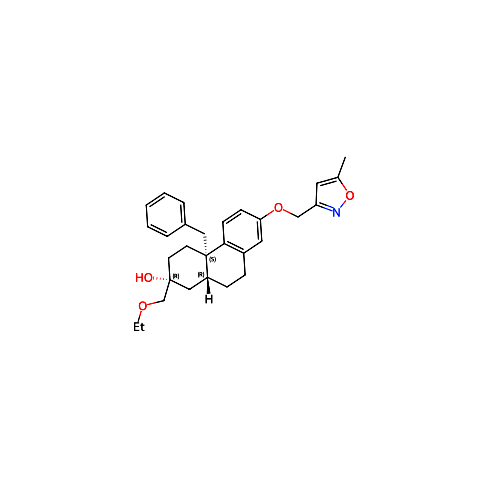 CCOC[C@@]1(O)CC[C@@]2(Cc3ccccc3)c3ccc(OCc4cc(C)on4)cc3CC[C@@H]2C1